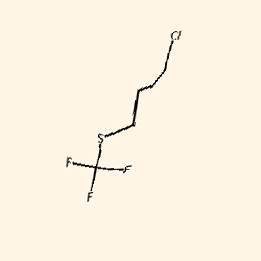 FC(F)(F)SCCCCl